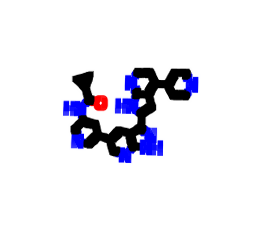 O=C(Nc1cncc(-c2cnc3[nH]nc(-c4cc5c(-c6ccncc6)ccnc5[nH]4)c3c2)c1)C1CC1